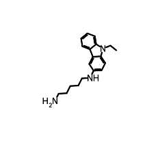 CCn1c2ccccc2c2cc(NCCCCCN)ccc21